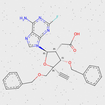 C#C[C@]1(COCc2ccccc2)O[C@@H](n2cnc3c(N)nc(F)nc32)[C@H](CC(=O)O)[C@@H]1OCc1ccccc1